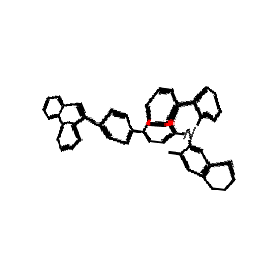 Cc1cc2c(cc1N(c1ccc(-c3ccc(-c4cc5ccccc5c5ccccc45)cc3)cc1)c1ccccc1-c1ccccc1)CCCC2